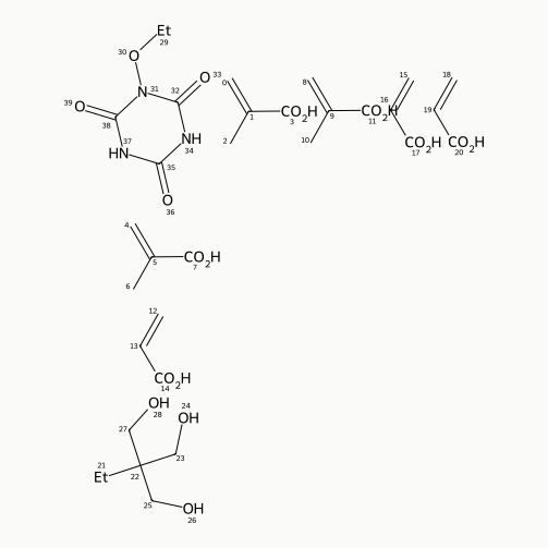 C=C(C)C(=O)O.C=C(C)C(=O)O.C=C(C)C(=O)O.C=CC(=O)O.C=CC(=O)O.C=CC(=O)O.CCC(CO)(CO)CO.CCOn1c(=O)[nH]c(=O)[nH]c1=O